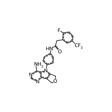 Nc1ncnc2c3c(n(-c4ccc(NC(=O)Cc5cc(C(F)(F)F)ccc5F)cc4)c12)COC3